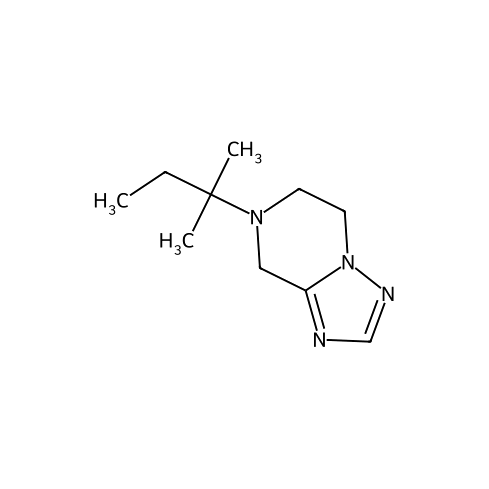 CCC(C)(C)N1CCn2ncnc2C1